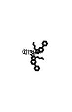 CCCCC1[C]([Zr+2]([C]2=Cc3ccc(-c4ccccc4)cc3C2CCCC)=[Si](C)C)=Cc2ccc(-c3ccccc3)cc21.[Cl-].[Cl-]